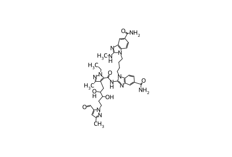 CCn1nc(C)c(CC(O)C(O)CCn2nc(C)cc2C=O)c1C(=O)Nc1nc2cc(C(N)=O)ccc2n1CCCCn1c(NC)nc2cc(C(N)=O)ccc21